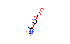 CCc1c(OCc2ccc(OCCOCCOC)nc2)cnn(C(C)(C)C)c1=O